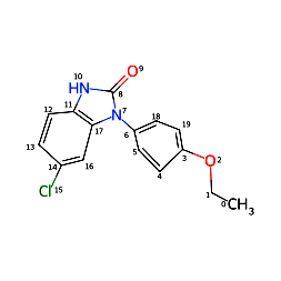 CCOc1ccc(-n2c(=O)[nH]c3ccc(Cl)cc32)cc1